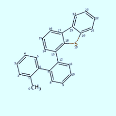 Cc1ccccc1-c1ccccc1-c1cccc2c1sc1ccccc12